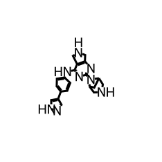 c1cc(-c2cn[nH]c2)ccc1Nc1nc(N2C3CNCC2C3)nc2c1CNC2